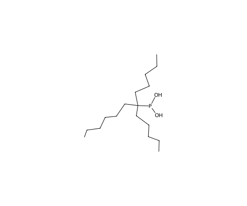 CCCCCCC(CCCCC)(CCCCC)P(O)O